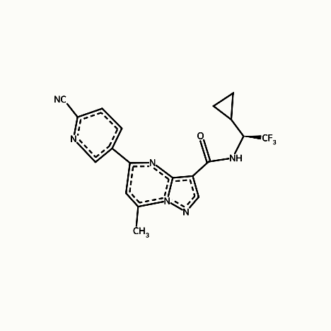 Cc1cc(-c2ccc(C#N)nc2)nc2c(C(=O)N[C@@H](C3CC3)C(F)(F)F)cnn12